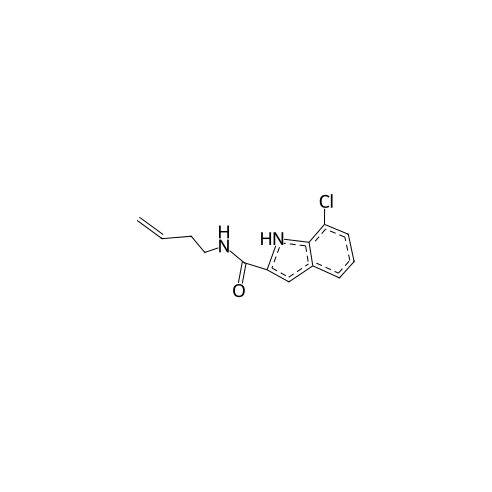 C=CCCNC(=O)c1cc2cccc(Cl)c2[nH]1